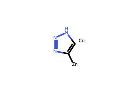 [Cu].[Zn][c]1c[nH]nn1